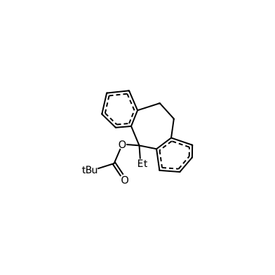 CCC1(OC(=O)C(C)(C)C)c2ccccc2CCc2ccccc21